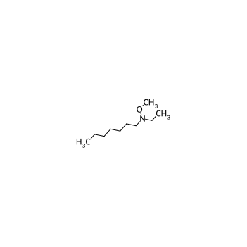 CCCCCCCN(CC)OC